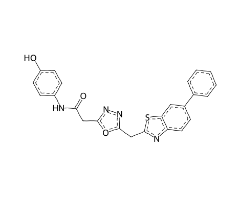 O=C(Cc1nnc(Cc2nc3ccc(-c4ccccc4)cc3s2)o1)Nc1ccc(O)cc1